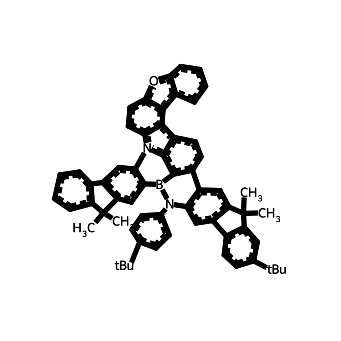 CC(C)(C)c1ccc(N2B3c4cc5c(cc4-n4c6ccc7oc8ccccc8c7c6c6ccc(c3c64)-c3cc4c(cc32)-c2ccc(C(C)(C)C)cc2C4(C)C)-c2ccccc2C5(C)C)cc1